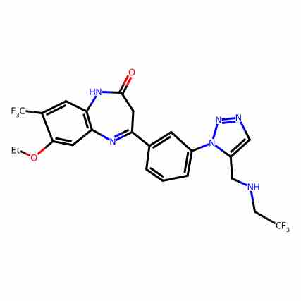 CCOc1cc2c(cc1C(F)(F)F)NC(=O)CC(c1cccc(-n3nncc3CNCC(F)(F)F)c1)=N2